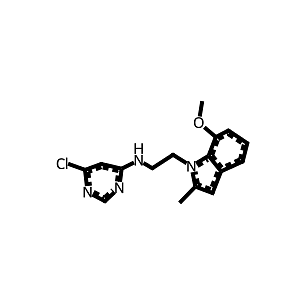 COc1cccc2cc(C)n(CCNc3cc(Cl)ncn3)c12